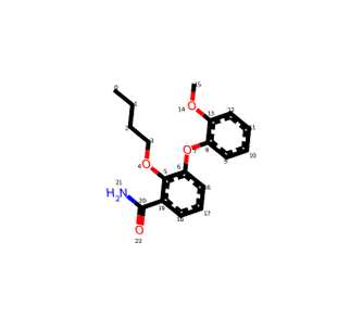 CCCCOc1c(Oc2ccccc2OC)cccc1C(N)=O